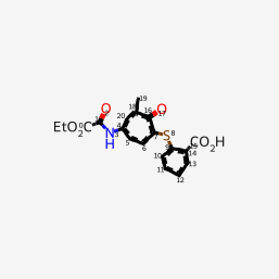 CCOC(=O)C(=O)Nc1ccc(Sc2ccccc2C(=O)O)c(=O)c(C)c1